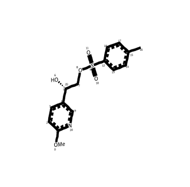 COc1ccc([C@H](O)COS(=O)(=O)c2ccc(C)cc2)cn1